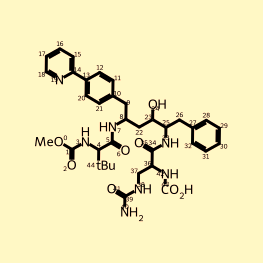 COC(=O)NC(C(=O)NC(Cc1ccc(-c2ccccn2)cc1)CC(O)C(Cc1ccccc1)NC(=O)C(CNC(N)=O)NC(=O)O)C(C)(C)C